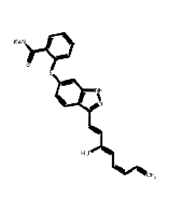 C=C\C=C/C=C(C)/C=C/c1n[nH]c2cc(Sc3ccccc3C(=O)NC)ccc12